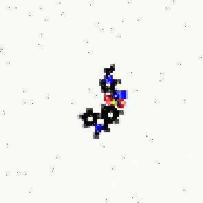 CCN1CCC(NS(=O)(=O)c2ccc(CN(C)C3CCCC3)cc2)C1